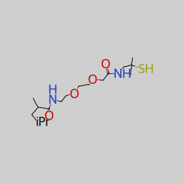 CC(C)CC(C)C(=O)NCCOCCOCC(=O)NCC(C)(C)S